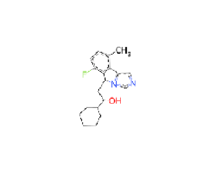 Cc1ccc(F)c2c1-c1cncn1C2CC(O)C1CCCCC1